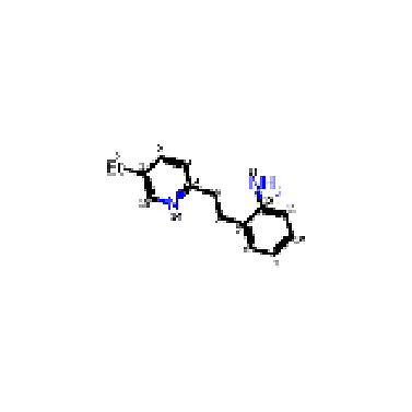 CCc1ccc(CCc2ccccc2N)nc1